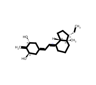 C=C1[C@H](O)CC(=C/C=C2\CCC[C@]3(C)[C@@H](CC)CC[C@@H]23)C[C@H]1O